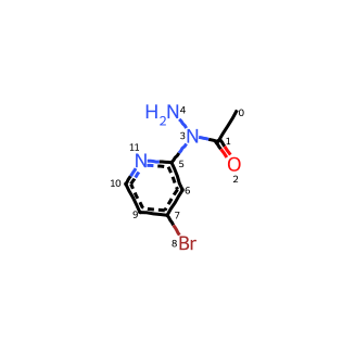 CC(=O)N(N)c1cc(Br)ccn1